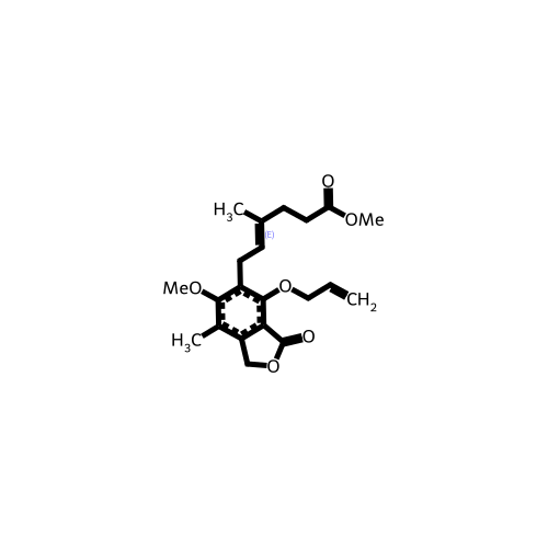 C=CCOc1c(C/C=C(\C)CCC(=O)OC)c(OC)c(C)c2c1C(=O)OC2